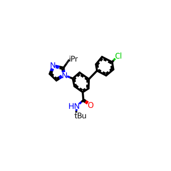 CC(C)c1nccn1-c1cc(C(=O)NC(C)(C)C)cc(-c2ccc(Cl)cc2)c1